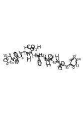 O=C(O)C[C@@H](/C=C/S(=O)(=O)N1CCOCC1)NC(=O)CNC(=O)CNC(=O)CNC(=O)OCc1ccccc1